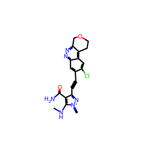 C=[N+]1N=C(C#Cc2cc3nnc4c(c3cc2Cl)CCOC4)C(C(N)=O)=C1NC